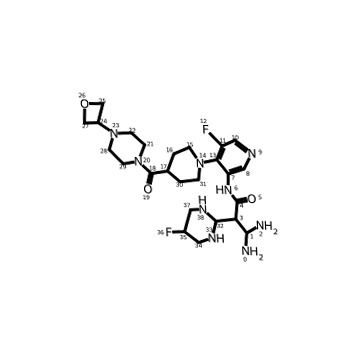 NC(N)C(C(=O)Nc1cncc(F)c1N1CCC(C(=O)N2CCN(C3COC3)CC2)CC1)C1NCC(F)CN1